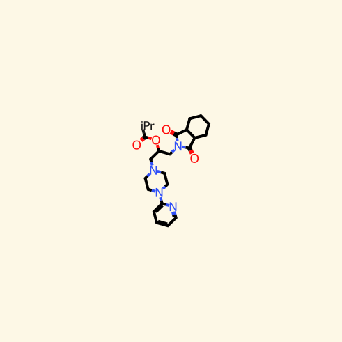 CC(C)C(=O)OC(CN1CCN(c2ccccn2)CC1)CN1C(=O)C2CCCCC2C1=O